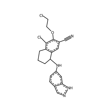 N#Cc1cc2c(c(Cl)c1OCCCl)CCCC2Nc1ccc2cn[nH]c2c1